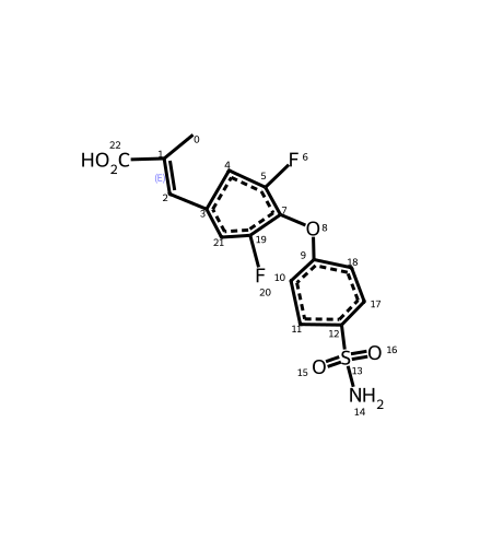 C/C(=C\c1cc(F)c(Oc2ccc(S(N)(=O)=O)cc2)c(F)c1)C(=O)O